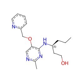 CCC[C@@H](CCO)Nc1nc(C)ncc1OCc1ccccn1